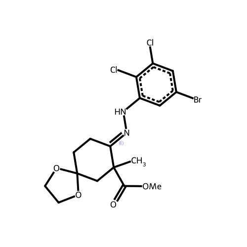 COC(=O)C1(C)CC2(CC/C1=N\Nc1cc(Br)cc(Cl)c1Cl)OCCO2